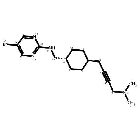 CN(C)CC#CC[C@H]1CC[C@H](CNc2ncc(Br)cn2)CC1